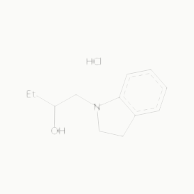 CCC(O)CN1CCc2ccccc21.Cl